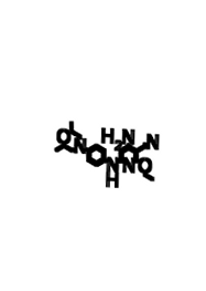 CCOc1nc(Nc2ccc(N3CC(C)OC(C)C3)cc2)cc(N)c1C#N